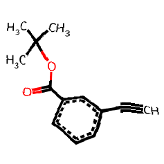 C#Cc1cccc(C(=O)OC(C)(C)C)c1